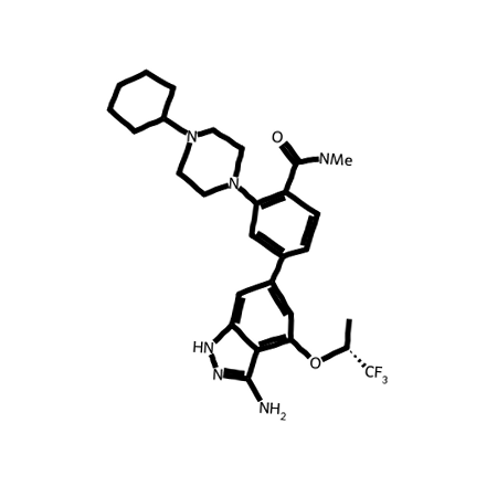 CNC(=O)c1ccc(-c2cc(O[C@H](C)C(F)(F)F)c3c(N)n[nH]c3c2)cc1N1CCN(C2CCCCC2)CC1